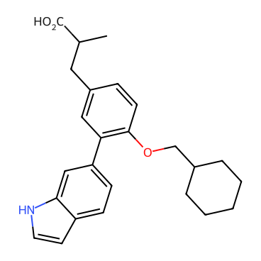 CC(Cc1ccc(OCC2CCCCC2)c(-c2ccc3cc[nH]c3c2)c1)C(=O)O